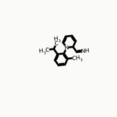 Cc1cccc(C(C)C)c1N1C=CC=CC1C=N